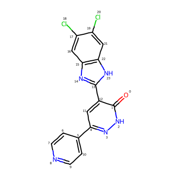 O=c1[nH]nc(-c2ccncc2)cc1-c1nc2cc(Cl)c(Cl)cc2[nH]1